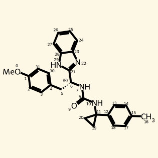 COc1ccc(C[C@@H](NC(=O)NC2(c3ccc(C)cc3)CC2)c2nc3ccccc3[nH]2)cc1